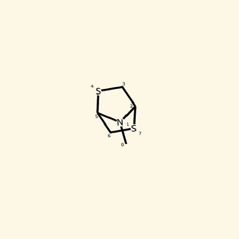 CN1C2CSC1CS2